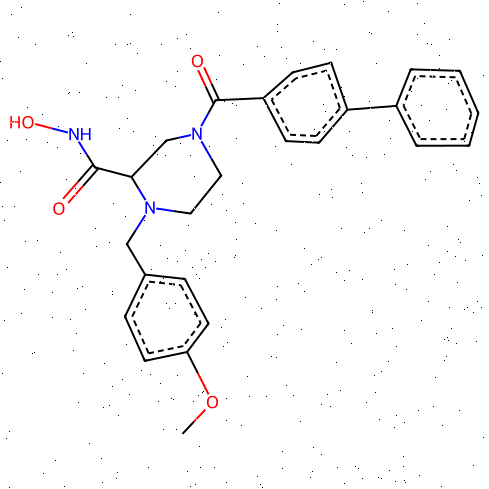 COc1ccc(CN2CCN(C(=O)c3ccc(-c4ccccc4)cc3)CC2C(=O)NO)cc1